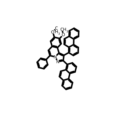 COc1cc2cc(-c3ccccc3)n3nc(-c4cccc5c4ccc4ccccc45)c(-c4cccc5c4ccc4ccccc45)c3c2cc1OC